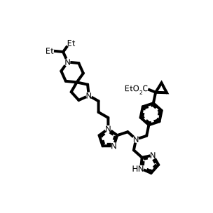 CCOC(=O)C1(c2ccc(CN(Cc3ncc[nH]3)Cc3nccn3CCCN3CCC4(CCN(C(CC)CC)CC4)C3)cc2)CC1